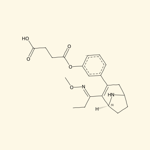 CCC(=NOC)C1=C(c2cc[c]c(OC(=O)CCC(=O)O)c2)CC2CC[C@@H]1N2